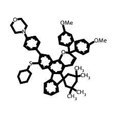 COc1ccc(C2(c3ccc(OC)cc3)C=Cc3c4c(c5cc(SC6CCCCC6)c(-c6ccc(N7CCOCC7)cc6)cc5c3O2)-c2ccccc2C42CC(C)(C)CC(C)(C)C2)cc1